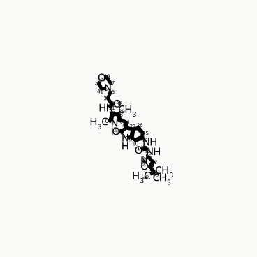 Cc1[nH]c(C=C2C(=O)Nc3cc(NC(=O)Nc4cc(C(C)(C)C)on4)ccc32)c(C)c1NC(=O)CCN1CCOCC1